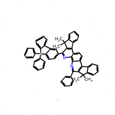 CC1(C)c2ccccc2-c2c1c(-c1ccccc1)nc1c2ccc2c3c(c(-c4ccc5c(c4)-c4ccccc4[Si]5(c4ccccc4)c4ccccc4)nc21)C(C)(C)c1ccccc1-3